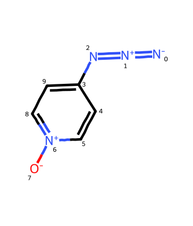 [N-]=[N+]=Nc1cc[n+]([O-])cc1